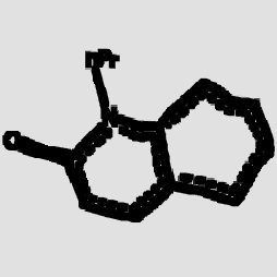 CCCn1c(=O)ccc2ccccc21